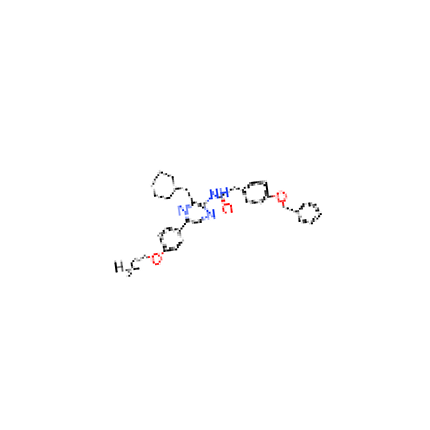 CCOc1ccc(-c2cnc(NC(=O)Cc3ccc(OCc4ccccc4)cc3)c(CC3CCCCC3)n2)cc1